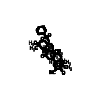 CC1(C)CC[C@]2(CS(=O)(=O)c3ccccc3)CC[C@]3(C)[C@H](C(=O)C[C@@H]4[C@@]5(C)C=C(C#N)C(=O)C(C)(C)[C@@H]5CC[C@]43C)[C@@H]2C1